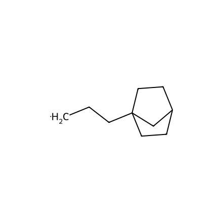 [CH2]CCC12CCC(CC1)C2